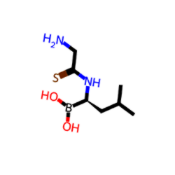 CC(C)C[C@H](NC(=S)CN)B(O)O